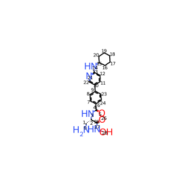 NC[C@H](NC(=O)c1ccc(-c2ccc(NC3CCCCC3)nc2)cc1)C(=O)NO